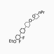 CCCC1CCC(COC2CCC(c3ccc(-c4ccc(OCC)c(F)c4F)cc3)CC2)OC1